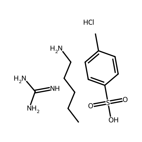 CCCCCN.Cc1ccc(S(=O)(=O)O)cc1.Cl.N=C(N)N